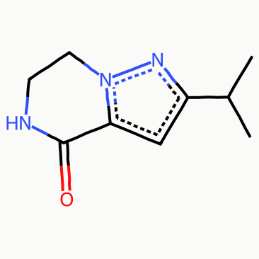 CC(C)c1cc2n(n1)CCNC2=O